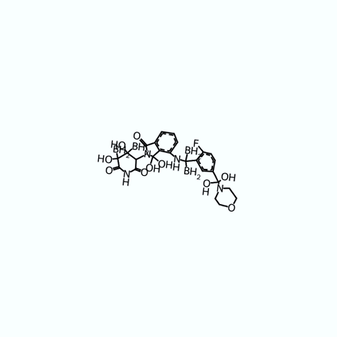 BC(B)(Nc1cccc2c1C(O)(O)N(C1C(=O)NC(=O)C(B)(O)C1(B)O)C2=O)c1cc(C(O)(O)N2CCOCC2)ccc1F